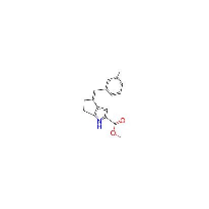 COC(=O)c1cc2c([nH]1)CCC2=Cc1cccc(C)c1